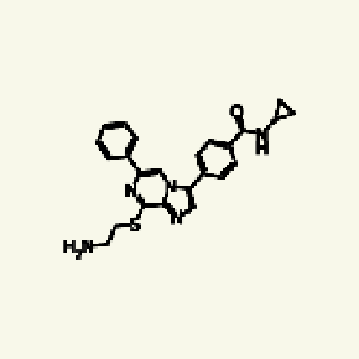 NCCSc1nc(-c2ccccc2)cn2c(-c3ccc(C(=O)NC4CC4)cc3)cnc12